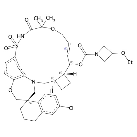 CCOC1CN(C(=O)O[C@H]2/C=C/COC(C)(C)C(=O)NS(=O)(=O)c3ccc4c(c3)N(C[C@@H]3CC[C@H]32)C[C@@]2(CCCc3cc(Cl)ccc32)CO4)C1